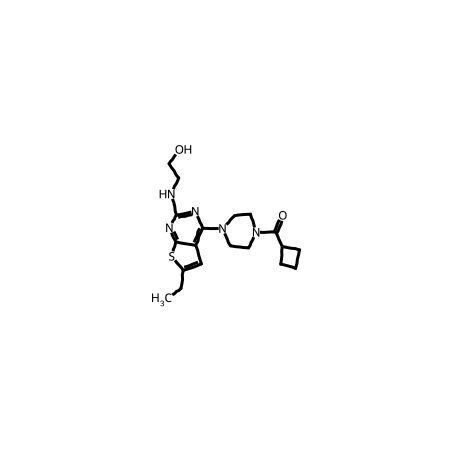 CCc1cc2c(N3CCN(C(=O)C4CCC4)CC3)nc(NCCO)nc2s1